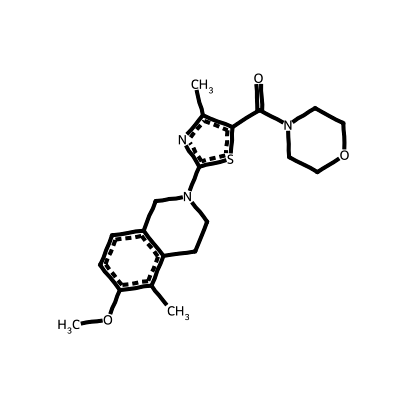 COc1ccc2c(c1C)CCN(c1nc(C)c(C(=O)N3CCOCC3)s1)C2